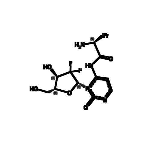 CC(C)[C@H](N)C(=O)Nc1ccnc(=O)n1[C@@H]1O[C@H](CO)[C@@H](O)C1(F)F